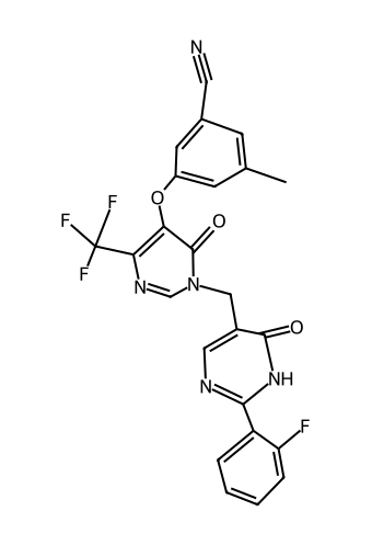 Cc1cc(C#N)cc(Oc2c(C(F)(F)F)ncn(Cc3cnc(-c4ccccc4F)[nH]c3=O)c2=O)c1